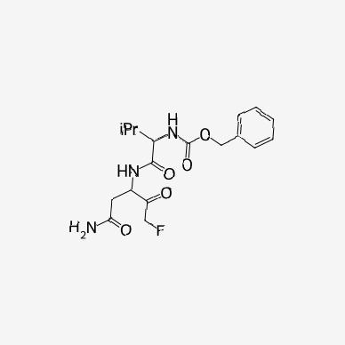 CC(C)C(NC(=O)OCc1ccccc1)C(=O)NC(CC(N)=O)C(=O)CF